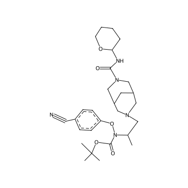 CC(CN1CC2CC(C1)CN(C(=O)NC1CCCCO1)C2)N(Oc1ccc(C#N)cc1)C(=O)OC(C)(C)C